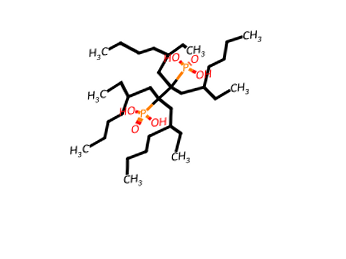 CCCCC(CC)CC(CC(CC)CCCC)(C(CC(CC)CCCC)(CC(CC)CCCC)P(=O)(O)O)P(=O)(O)O